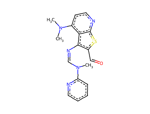 CN(C)c1ccnc2sc(C=O)c(/N=C\N(C)c3ccccn3)c12